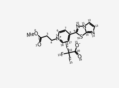 COC(=O)CC[n+]1ccc(-c2nn3ccnc3s2)cc1.O=C([O-])C(F)(F)F